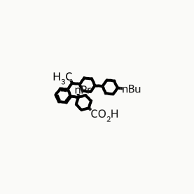 CCCCC1CCC(C2CCC(C(C)c3ccccc3C3(CCC)CCC(C(=O)O)CC3)CC2)CC1